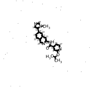 CC(C)Oc1cc(C(=O)Nc2cc3cc(-c4cncn4C)ccc3cn2)ccn1